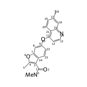 CNC(=O)c1c(C)oc2cc(Oc3ccnc4cc(I)ccc34)ccc12